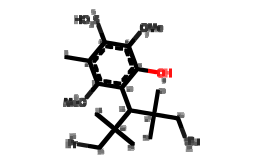 COc1c(C)c(S(=O)(=O)O)c(OC)c(O)c1C(C(C)(C)CC(C)C)C(C)(C)CC(C)(C)C